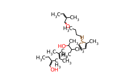 CC(C)C(C)O.CC=C(C)C.CC=C(C)C=O.CCC(C)=CO.CCCC[SH]1C=CC=C1C